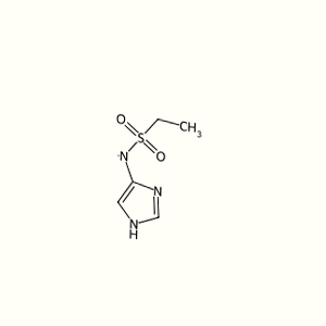 CCS(=O)(=O)[N]c1c[nH]cn1